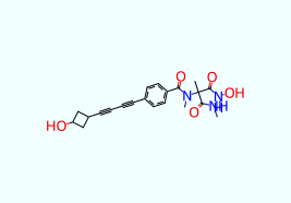 CNC(=O)C(C)(C(=O)NO)N(C)C(=O)c1ccc(C#CC#CC2CC(O)C2)cc1